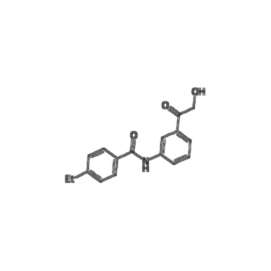 CCc1ccc(C(=O)Nc2cccc(C(=O)CO)c2)cc1